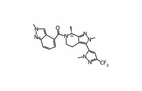 C[C@H]1c2nn(C)c(-c3cc(C(F)(F)F)nn3C)c2CCN1C(=O)c1cccc2nn(C)cc12